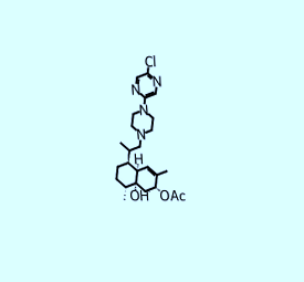 CC(=O)O[C@@H]1[CH][C@@]2(O)[C@H](C)CC[C@@H](C(C)CN3CCN(c4cnc(Cl)cn4)CC3)[C@H]2C=C1C